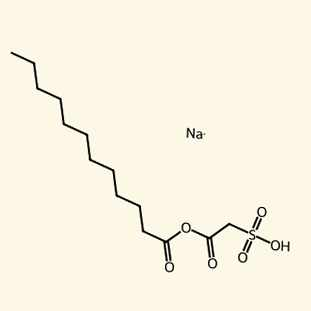 CCCCCCCCCCCC(=O)OC(=O)CS(=O)(=O)O.[Na]